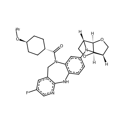 CC(C)O[C@H]1CC[C@H](C(=O)N2Cc3cc(F)cnc3Nc3ccc(N4[C@@H]5CO[C@H]6[C@@H]5OC[C@H]64)cc32)CC1